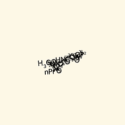 CCCN(C(=O)c1ccc(NC(=O)Cc2ccc(S(=O)(=O)CC3CC3)cc2)cc1)c1cc(C)on1